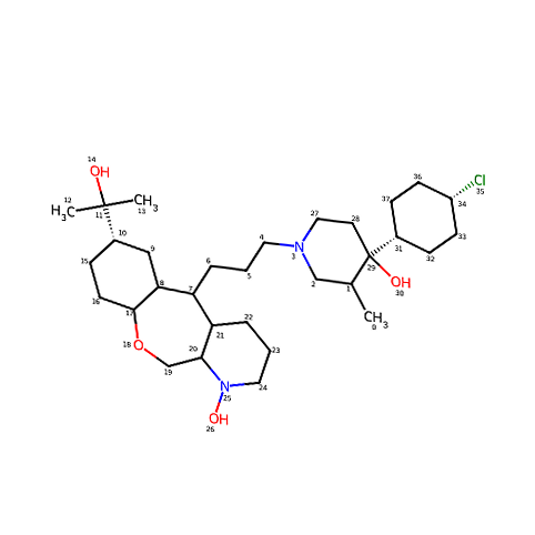 CC1CN(CCCC2C3C[C@@H](C(C)(C)O)CCC3OCC3C2CCCN3O)CCC1(O)[C@H]1CC[C@@H](Cl)CC1